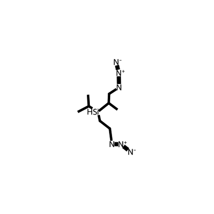 CC(C)[SiH](CCN=[N+]=[N-])C(C)CN=[N+]=[N-]